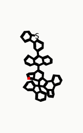 c1ccc2c(c1)-c1ccccc1C21c2c(cc(-c3c4ccccc4c(-c4ccc5sc6ccccc6c5c4)c4ccccc34)c3ccccc23)-c2c1c1ccccc1c1ccccc21